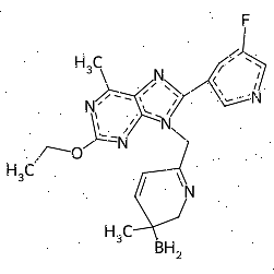 BC1(C)C=CC(Cn2c(-c3cncc(F)c3)nc3c(C)nc(OCC)nc32)=NC1